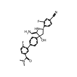 CN(C)C(=O)c1ccc(F)c(-c2ccc([C@@]3(O)C[C@H](c4ccc(C#N)cc4F)N/C3=C\N)cc2)c1